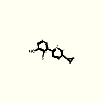 Oc1cccc(-c2ccc(C3CC3)cn2)c1F